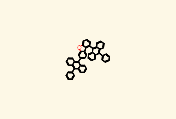 c1ccc(-c2c3ccccc3c(-c3ccc4c(c3)oc3cccc(-c5c6ccccc6c(-c6ccccc6)c6ccccc56)c34)c3ccccc23)cc1